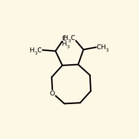 CC(C)C1CCCCOCC1C(C)C